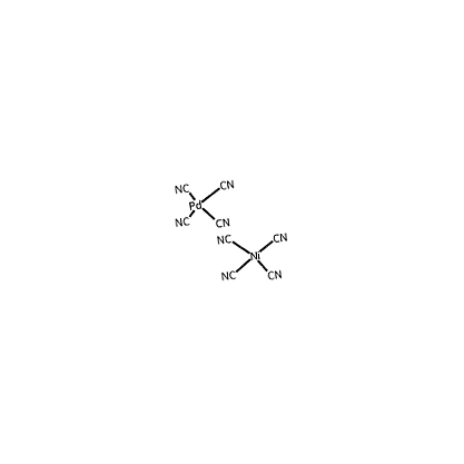 N#[C][Ni]([C]#N)([C]#N)[C]#N.N#[C][Pd]([C]#N)([C]#N)[C]#N